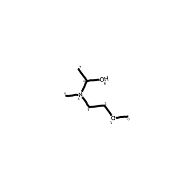 COCCN(C)C(C)O